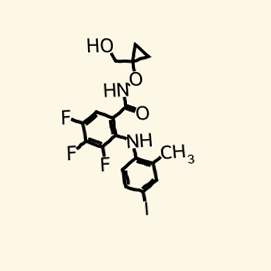 Cc1cc(I)ccc1Nc1c(C(=O)NOC2(CO)CC2)cc(F)c(F)c1F